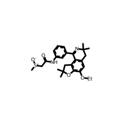 CCOc1cc2c(c3c1OC(C)(C)C3)C(c1cccc(NC(=O)C[S+](C)[O-])c1)=NC(C)(C)C2